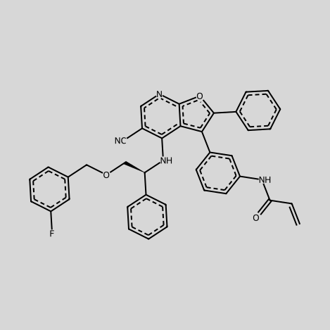 C=CC(=O)Nc1cccc(-c2c(-c3ccccc3)oc3ncc(C#N)c(N[C@H](COCc4cccc(F)c4)c4ccccc4)c23)c1